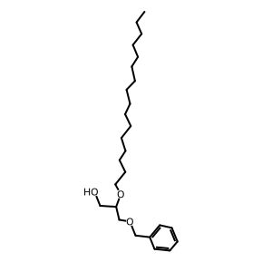 CCCCCCCCCCCCCCCCOC(CO)COCc1ccccc1